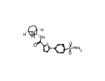 NS(=O)(=O)c1ccc(-c2ccc(C(=O)N[C@@H]3C[C@H]4CC[C@@H]3N4)s2)cc1